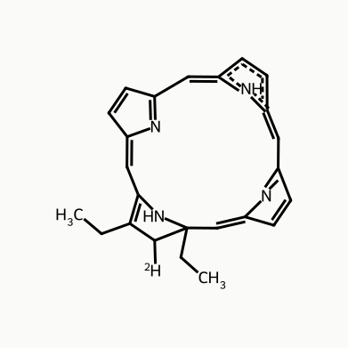 [2H]C1C(CC)=C2C=C3C=CC(=N3)C=c3ccc([nH]3)=CC3=NC(=CC1(CC)N2)C=C3